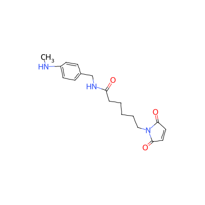 CNc1ccc(CNC(=O)CCCCCN2C(=O)C=CC2=O)cc1